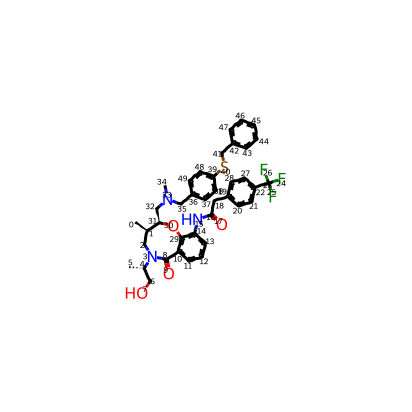 C[C@@H]1CN([C@@H](C)CO)C(=O)c2cccc(NC(=O)Cc3ccc(C(F)(F)F)cc3)c2O[C@@H]1CN(C)Cc1ccc(SCc2ccccc2)cc1